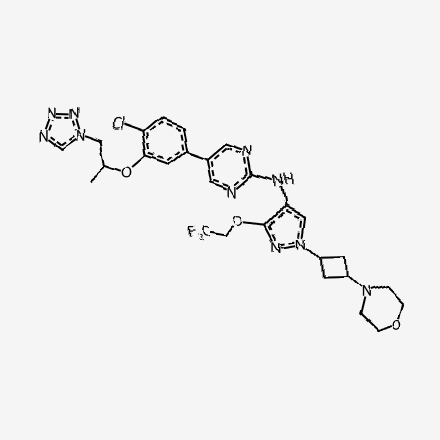 CC(Cn1cnnn1)Oc1cc(-c2cnc(Nc3cn(C4CC(N5CCOCC5)C4)nc3OCC(F)(F)F)nc2)ccc1Cl